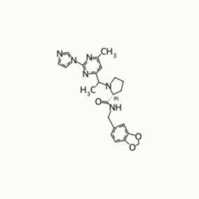 Cc1cc(C(C)N2CCC[C@@H]2C(=O)NCc2ccc3c(c2)OCO3)nc(-n2ccnc2)n1